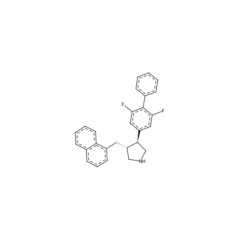 Fc1cc([C@H]2CNC[C@@H]2Cc2cccc3ccccc23)cc(F)c1-c1ccccc1